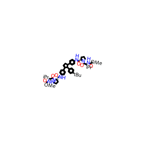 COC(=O)N[C@H](C(=O)N1CCC[C@H]1C(=O)Nc1ccc(C2=CCC(c3ccc(NC(=O)[C@@H]4CCCN4C(=O)[C@@H](NC(=O)OC)C(C)C)cc3)C2c2ccc(C(C)(C)C)cc2)cc1)C(C)C